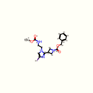 CC(C)(C)OC(=O)NCCn1cc(I)nc1C1CN(C(=O)OCc2ccccc2)C1